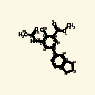 COC(=O)c1nc(-c2ccc3c(c2)CCC3)cc(NC(C)=O)c1Cl